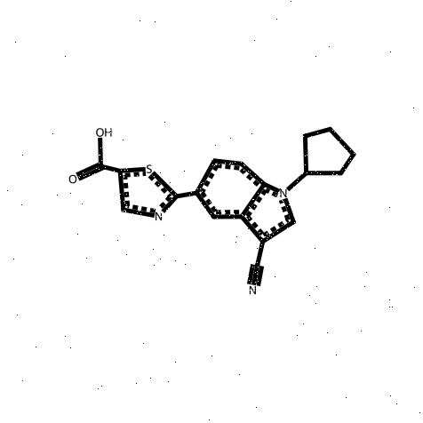 N#Cc1cn(C2CCCC2)c2ccc(-c3ncc(C(=O)O)s3)cc12